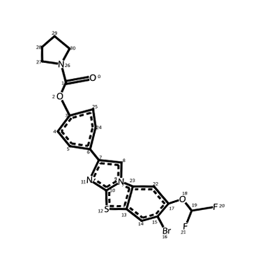 O=C(Oc1ccc(-c2cn3c(n2)sc2cc(Br)c(OC(F)F)cc23)cc1)N1CCCC1